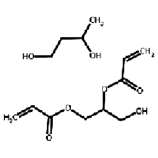 C=CC(=O)OCC(CO)OC(=O)C=C.CC(O)CCO